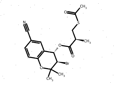 CC(=O)SC[C@@H](C)C(=O)O[C@H]1c2cc(C#N)ccc2OC(C)(C)[C@@H]1Br